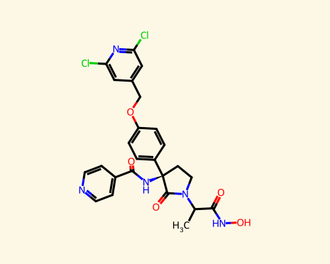 CC(C(=O)NO)N1CC[C@@](NC(=O)c2ccncc2)(c2ccc(OCc3cc(Cl)nc(Cl)c3)cc2)C1=O